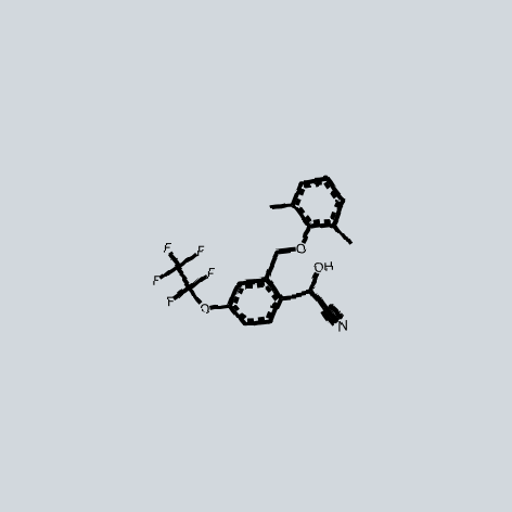 Cc1cccc(C)c1OCc1cc(OC(F)(F)C(F)(F)F)ccc1C(O)C#N